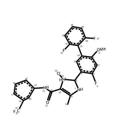 COc1cc(F)c(C2NC(C)=C(C(=O)Nc3cccc(C(F)(F)F)c3)[NH+]2[O-])cc1-c1c(F)cccc1F